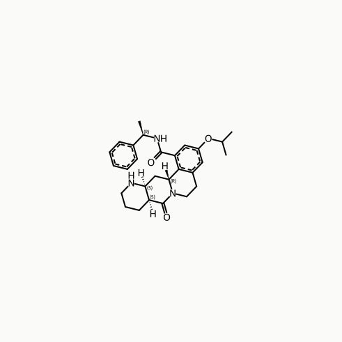 CC(C)Oc1cc2c(c(C(=O)N[C@H](C)c3ccccc3)c1)[C@H]1C[C@@H]3NCCC[C@@H]3C(=O)N1CC2